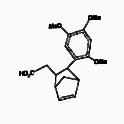 COc1cc(OC)c(C2C3C=CC(C3)C2CC(=O)O)cc1OC